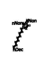 CCCCCCCCCCCCCCCCCCCN1C=CN(CCCCCCCCC)C1CCCCCCCCC